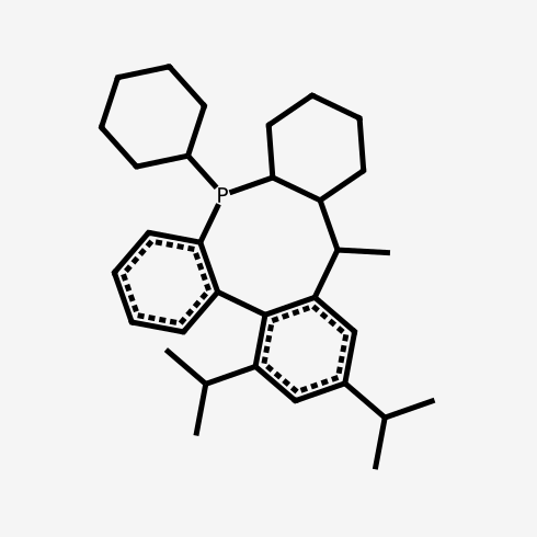 CC(C)c1cc(C(C)C)c2c(c1)C(C)C1CCCCC1P(C1CCCCC1)c1ccccc1-2